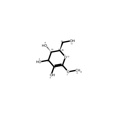 COC1=C(O)C(O)[C@H](O)[C@@H](CO)O1